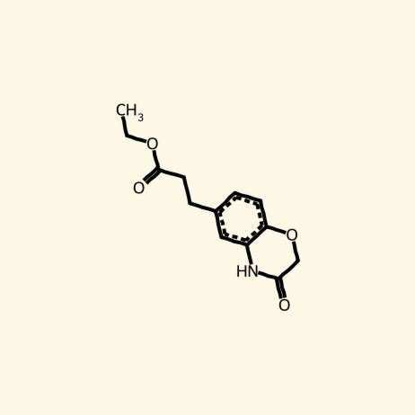 CCOC(=O)CCc1ccc2c(c1)NC(=O)CO2